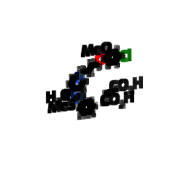 COc1cc(Cl)ccc1OCCCCN1CCC(N(C)C(=Nc2ccccc2)SC)CC1.O=C(O)/C=C/C(=O)O